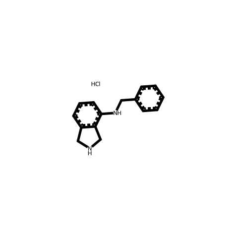 Cl.c1ccc(CNc2cccc3c2CNC3)cc1